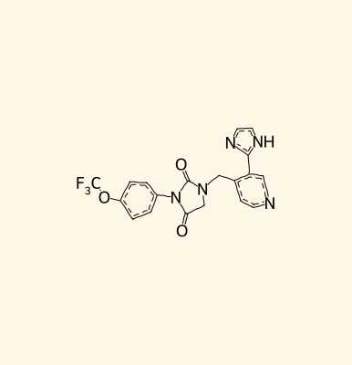 O=C1CN(Cc2ccncc2-c2ncc[nH]2)C(=O)N1c1ccc(OC(F)(F)F)cc1